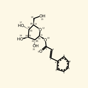 O=C(C=Cc1ccccc1)O[C@@H]1O[C@H](CO)[C@@H](O)[C@H](O)[C@H]1O